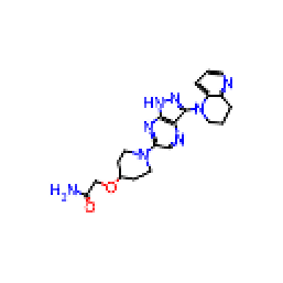 NC(=O)COC1CCN(c2cnc3c(N4CCCc5ncccc54)n[nH]c3n2)CC1